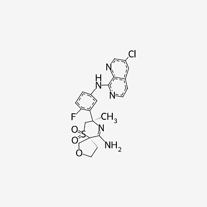 C[C@@]1(c2cc(Nc3nccc4cc(Cl)cnc34)ccc2F)CS(=O)(=O)[C@@]2(CCOC2)C(N)=N1